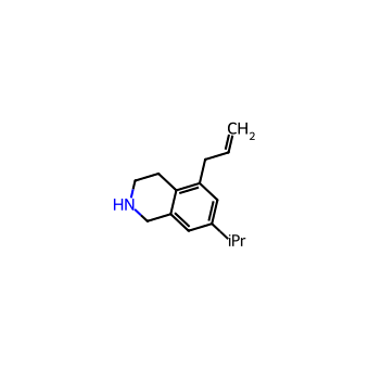 C=CCc1cc(C(C)C)cc2c1CCNC2